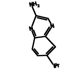 CC(C)c1ccc2nc(N)cnc2c1